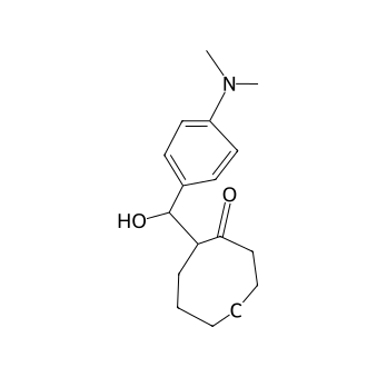 CN(C)c1ccc(C(O)C2CCCCCCC2=O)cc1